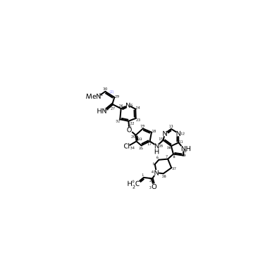 C=CC(=O)N1CCC(c2c[nH]c3ncnc(Nc4ccc(Oc5ccnc(C(=N)/C=C\NC)c5)c(Cl)c4)c23)CC1